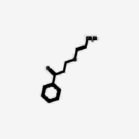 CCOC(=O)C=COCCC(=O)c1ccccc1